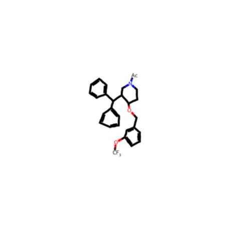 CC(=O)N1CCC(OCc2cccc(OC(F)(F)F)c2)C(C(c2ccccc2)c2ccccc2)C1